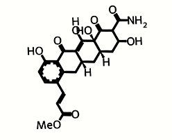 COC(=O)/C=C/c1ccc(O)c2c1C[C@H]1C[C@H]3CC(O)C(C(N)=O)C(=O)[C@@]3(O)C(O)=C1C2=O